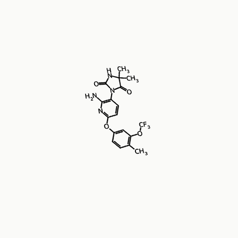 Cc1ccc(Oc2ccc(N3C(=O)NC(C)(C)C3=O)c(N)n2)cc1OC(F)(F)F